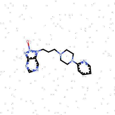 [O-][n+]1nc2ncncc2n1CCCN1CCN(c2ccccn2)CC1